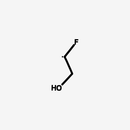 OC[CH]F